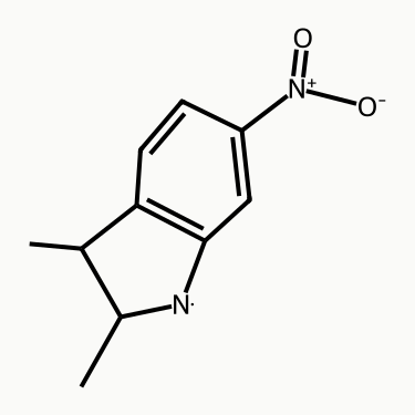 CC1[N]c2cc([N+](=O)[O-])ccc2C1C